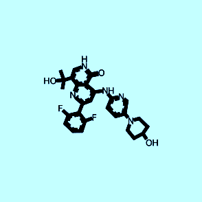 CC(C)(O)c1c[nH]c(=O)c2c(Nc3ccc(N4CCC(O)CC4)cn3)cc(-c3c(F)cccc3F)nc12